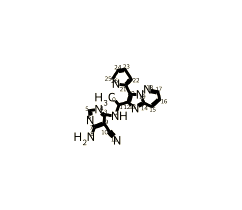 CC(Nc1ncnc(N)c1C#N)c1nc2cccnn2c1-c1ccccn1